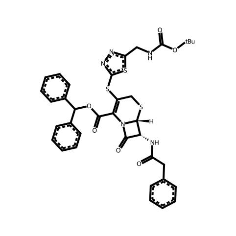 CC(C)(C)OC(=O)NCc1nnc(SC2=C(C(=O)OC(c3ccccc3)c3ccccc3)N3C(=O)[C@@H](NC(=O)Cc4ccccc4)[C@H]3SC2)s1